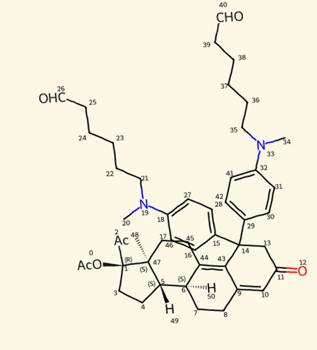 CC(=O)O[C@]1(C(C)=O)CC[C@H]2[C@@H]3CCC4=CC(=O)CC(c5ccc(N(C)CCCCCC=O)cc5)(c5ccc(N(C)CCCCCC=O)cc5)C4=C3CC[C@@]21C